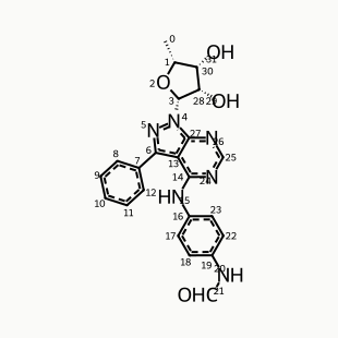 C[C@H]1O[C@@H](n2nc(-c3ccccc3)c3c(Nc4ccc(NC=O)cc4)ncnc32)[C@@H](O)[C@H]1O